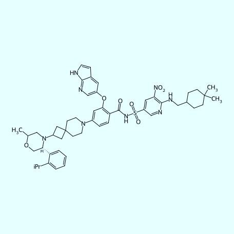 CC1CN(C2CC3(CCN(c4ccc(C(=O)NS(=O)(=O)c5cnc(NCC6CCC(C)(C)CC6)c([N+](=O)[O-])c5)c(Oc5cnc6[nH]ccc6c5)c4)CC3)C2)[C@H](c2ccccc2C(C)C)CO1